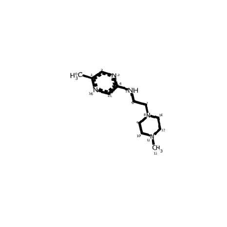 Cc1cnc(NCCN2CCN(C)CC2)cn1